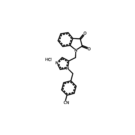 Cl.N#Cc1ccc(Cn2cncc2CN2C(=O)C(=O)c3ccccc32)cc1